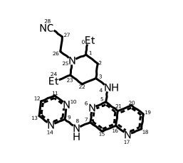 CCC1CC(Nc2nc(Nc3ncccn3)cc3ncccc23)CC(CC)N1CCC#N